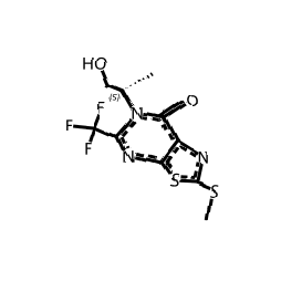 CSc1nc2c(=O)n([C@@H](C)CO)c(C(F)(F)F)nc2s1